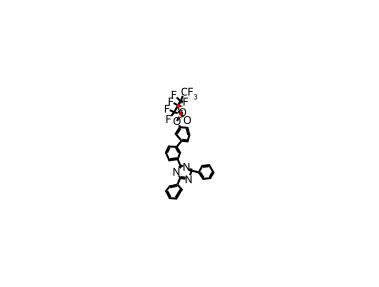 O=S(=O)(Oc1cccc(-c2cccc(-c3nc(-c4ccccc4)nc(-c4ccccc4)n3)c2)c1)C(F)(F)C(F)(F)C(F)(F)C(F)(F)F